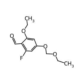 CCOCOc1cc(F)c(C=O)c(OCC)c1